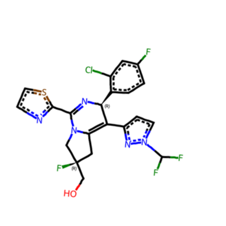 OC[C@@]1(F)CC2=C(c3ccn(C(F)F)n3)[C@H](c3ccc(F)cc3Cl)N=C(c3nccs3)N2C1